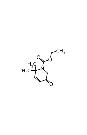 CCOC(=O)N1CC(=O)C=CC1(C)C